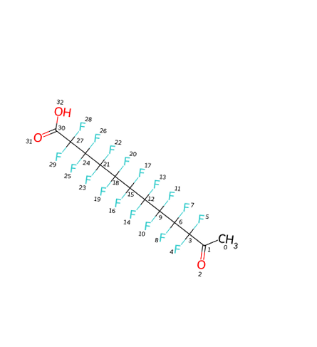 CC(=O)C(F)(F)C(F)(F)C(F)(F)C(F)(F)C(F)(F)C(F)(F)C(F)(F)C(F)(F)C(F)(F)C(=O)O